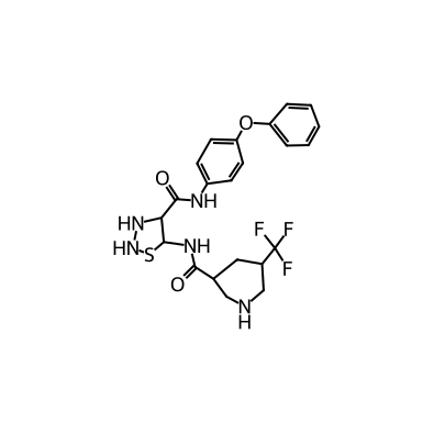 O=C(NC1SNNC1C(=O)Nc1ccc(Oc2ccccc2)cc1)C1CNCC(C(F)(F)F)C1